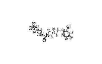 O=C(N1CC2(CC(Cc3ncc(F)cc3Cl)C2)C1)N1CC2(C1)CS(=O)(=O)C2